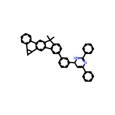 CC1(C)c2ccc(-c3cccc(C4C=C(c5ccccc5)N=C(c5ccccc5)N4)c3)cc2-c2cc3c(cc21)-c1ccccc1C1CC31